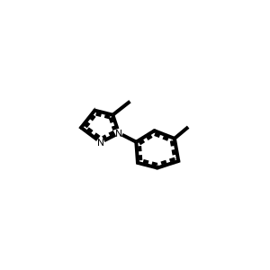 Cc1cccc(-n2nc[c]c2C)c1